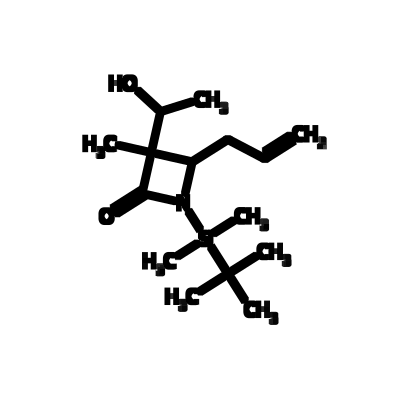 C=CCC1N([Si](C)(C)C(C)(C)C)C(=O)C1(C)C(C)O